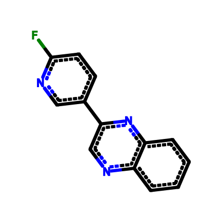 Fc1ccc(-c2cnc3ccccc3n2)cn1